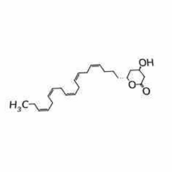 CC/C=C\C/C=C\C/C=C\C/C=C\C/C=C\CCC[C@@H]1C[C@@H](O)CC(=O)O1